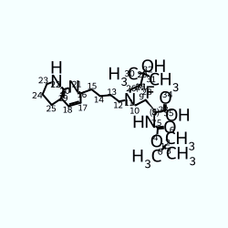 CC(C)(C)OC(=O)N[C@@H](CCN(CCCCc1ccc2c(n1)NCCC2)C[C@@H](F)C(C)(C)O)C(=O)O